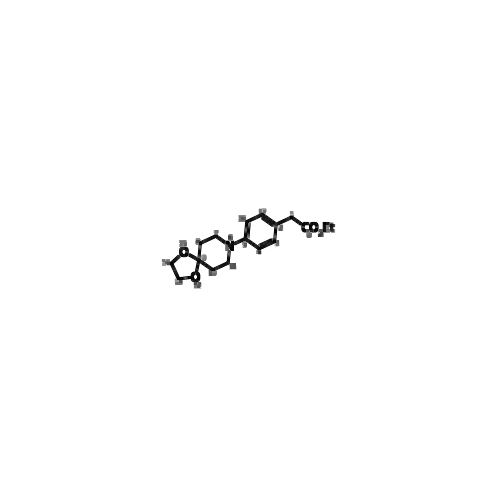 CCOC(=O)Cc1ccc(N2CCC3(CC2)OCCO3)cc1